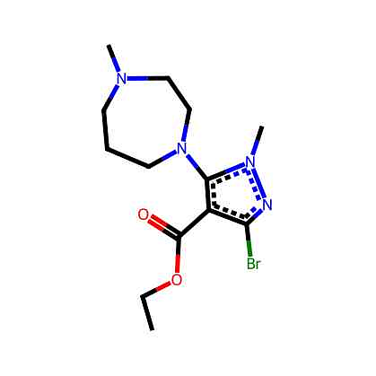 CCOC(=O)c1c(Br)nn(C)c1N1CCCN(C)CC1